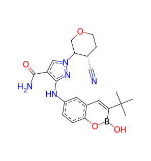 CC(C)(C)C1=Cc2cc(Nc3nn(C4COCC[C@@H]4C#N)cc3C(N)=O)ccc2OB1O